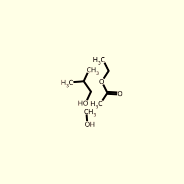 CC(C)CO.CCOC(C)=O.CO